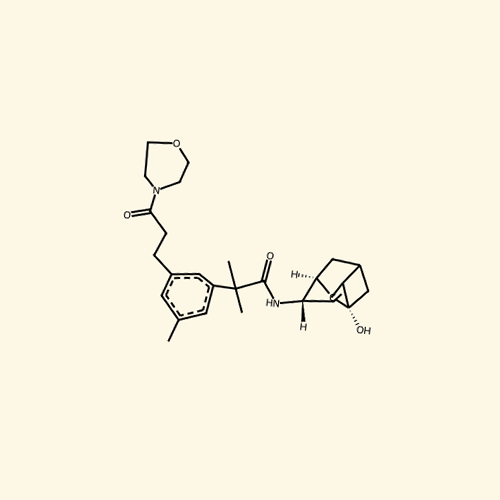 Cc1cc(CCC(=O)N2CCOCC2)cc(C(C)(C)C(=O)N[C@H]2C=C3C4C[C@H]2C[C@]3(O)C4)c1